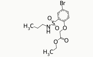 CCCNS(=O)(=O)c1cc(Br)ccc1OCC(=O)OCC